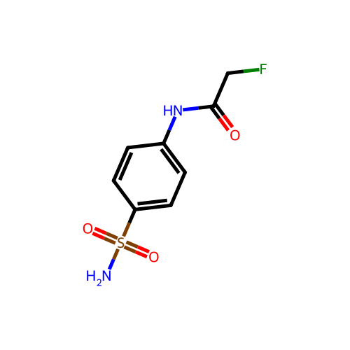 NS(=O)(=O)c1ccc(NC(=O)CF)cc1